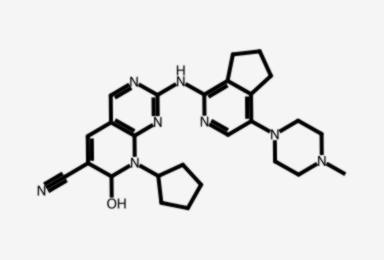 CN1CCN(c2cnc(Nc3ncc4c(n3)N(C3CCCC3)C(O)C(C#N)=C4)c3c2CCC3)CC1